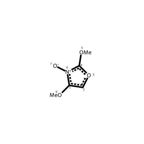 COc1coc(OC)[n+]1[O-]